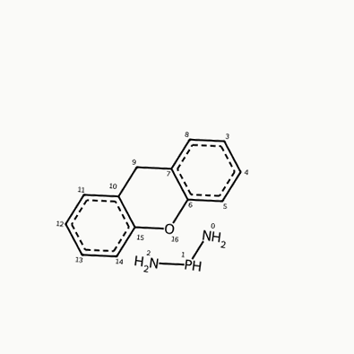 NPN.c1ccc2c(c1)Cc1ccccc1O2